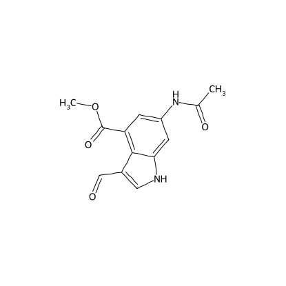 COC(=O)c1cc(NC(C)=O)cc2[nH]cc(C=O)c12